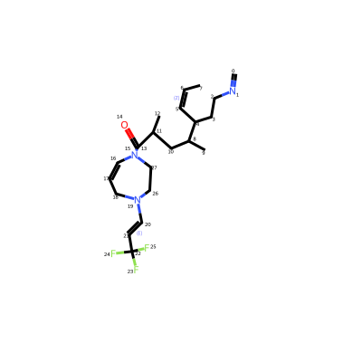 C=NCCC(/C=C\C)C(C)CC(C)C(=O)N1C=CCN(/C=C/C(F)(F)F)CC1